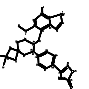 COc1cc(C)c2[nH]ccc2c1CN1CCC2(C[C@@H]1c1ccc(-c3noc(=O)[nH]3)cc1)CC(F)(F)C2